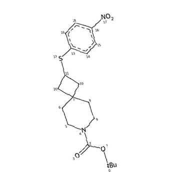 CC(C)(C)OC(=O)N1CCC2(CC1)CC(Sc1ccc([N+](=O)[O-])cc1)C2